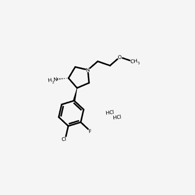 COCCN1C[C@@H](N)[C@H](c2ccc(Cl)c(F)c2)C1.Cl.Cl